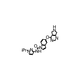 CC(C)n1ccc(NC(=O)n2ccc3cc(Oc4ncnc5c4CNC5)ccc32)n1